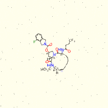 O=C(CCC(F)(F)F)N[C@H]1CCCCC/C=C\[C@@H]2C[C@@]2(C(=O)O)NC(=O)[C@@H]2C[C@@H](OC(=O)N3Cc4cccc(F)c4C3)CN2C1=O